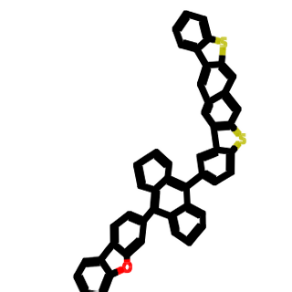 c1ccc2c(c1)oc1cc(-c3c4ccccc4c(-c4ccc5sc6cc7cc8sc9ccccc9c8cc7cc6c5c4)c4ccccc34)ccc12